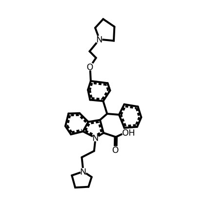 O=C(O)c1c(C(c2ccccc2)c2ccc(OCCN3CCCC3)cc2)c2ccccc2n1CCN1CCCC1